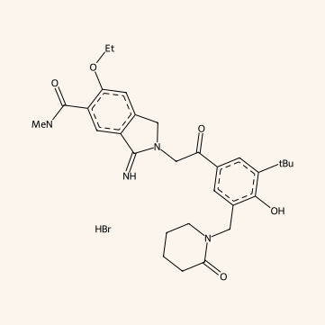 Br.CCOc1cc2c(cc1C(=O)NC)C(=N)N(CC(=O)c1cc(CN3CCCCC3=O)c(O)c(C(C)(C)C)c1)C2